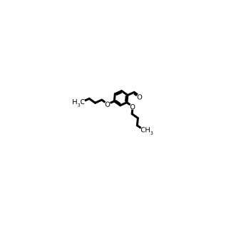 CCCCOc1ccc(C=O)c(OCCCC)c1